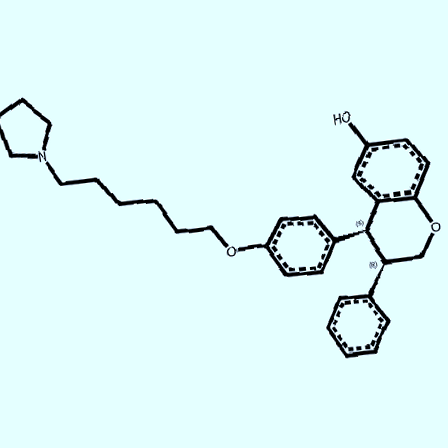 Oc1ccc2c(c1)[C@H](c1ccc(OCCCCCCN3CCCC3)cc1)[C@H](c1ccccc1)CO2